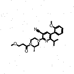 COCCC(=O)N1CCN(c2nc(C(C)C)c(-c3ccccc3OC)cc2C#N)C[C@H]1C